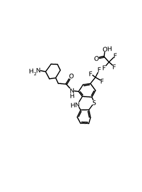 NC1CCCC(CC(=O)Nc2cc(C(F)(F)F)cc3c2Nc2ccccc2S3)C1.O=C(O)C(F)(F)F